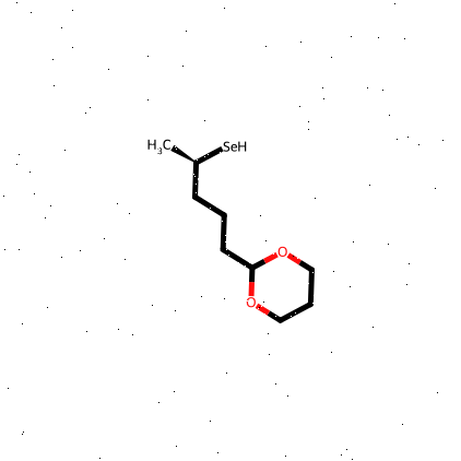 C[C@@H]([SeH])CCCC1OCCCO1